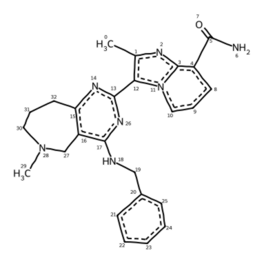 Cc1nc2c(C(N)=O)cccn2c1-c1nc2c(c(NCc3ccccc3)n1)CN(C)CCC2